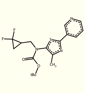 Cc1nc(-c2cccnc2)sc1N(CC1CC1(F)F)C(=O)OC(C)(C)C